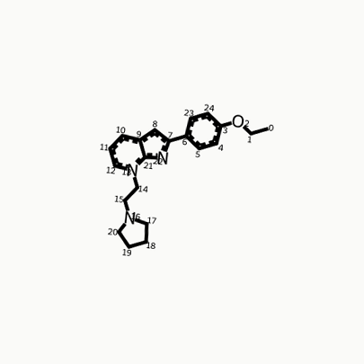 CCOc1ccc(-c2cc3cccn(CCN4CCCC4)c-3n2)cc1